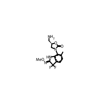 CON=C1Nc2c(ccc(C)c2N2C[C@@H](CN)OC2=O)C1(F)F